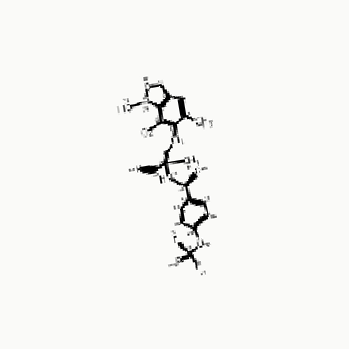 Cc1cc2c(c(Cl)c1OCC(C)(C#N)NC(=O)c1ccc(OC(F)(F)F)cc1)B(O)OC2